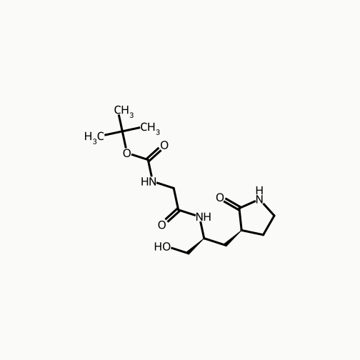 CC(C)(C)OC(=O)NCC(=O)N[C@H](CO)C[C@@H]1CCNC1=O